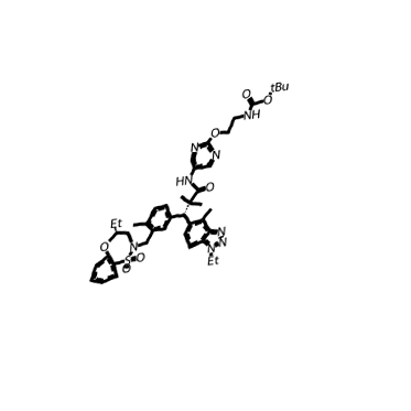 CC[C@@H]1CN(Cc2cc([C@@H](c3ccc4c(nnn4CC)c3C)C(C)(C)C(=O)Nc3cnc(OCCNC(=O)OC(C)(C)C)nc3)ccc2C)S(=O)(=O)c2ccccc2O1